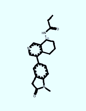 CCC(=O)N[C@@H]1CCCc2c(-c3ccc4c(c3)CC(=O)N4C)cncc21